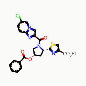 CCOC(=O)c1csc([C@@H]2C[C@H](OC(=O)c3ccccc3)CN2C(=O)c2cn3cc(Cl)ccc3n2)n1